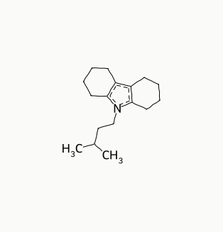 CC(C)CCn1c2c(c3c1CCCC3)CCCC2